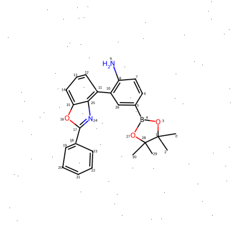 CC1(C)OB(c2ccc(N)c(-c3cccc4oc(-c5ccccc5)nc34)c2)OC1(C)C